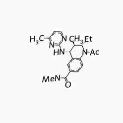 CC[C@H]1[C@H](C)[C@@H](Nc2nccc(C)n2)c2cc(C(=O)NC)ccc2N1C(C)=O